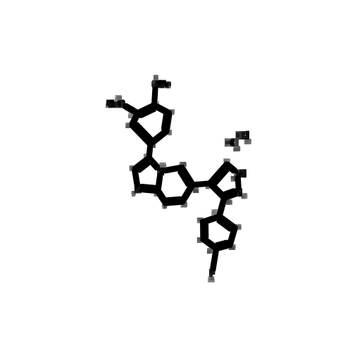 COc1ccc(-c2cnc3ccc(-c4c[nH]nc4-c4ccc(F)cc4)cn23)cc1OC.Cl.Cl